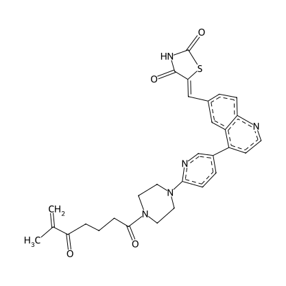 C=C(C)C(=O)CCCC(=O)N1CCN(c2ccc(-c3ccnc4ccc(/C=C5\SC(=O)NC5=O)cc34)cn2)CC1